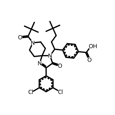 CC(C)(C)CCC(c1ccc(C(=O)O)cc1)N1C(=O)C(c2cc(Cl)cc(Cl)c2)=NC12CCN(C(=O)C(C)(C)C)CC2